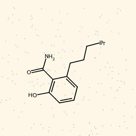 CC(C)CCCc1cccc(O)c1C(N)=O